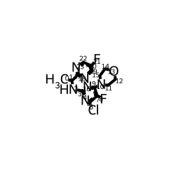 CC(Nc1nc(Cl)c(F)c(N2CCOCC2)n1)c1ncc(F)cn1